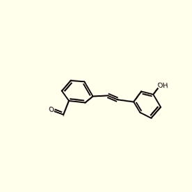 O=[C]c1cccc(C#Cc2cccc(O)c2)c1